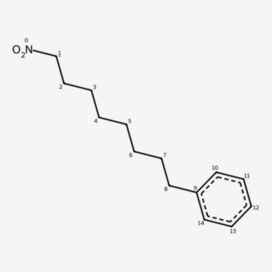 O=[N+]([O-])[CH]CCCCCCCc1ccccc1